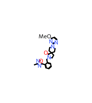 COc1ccnc(N2CCC3(CCN(Cc4ccccc4-c4nc(C)no4)C3=O)CC2)n1